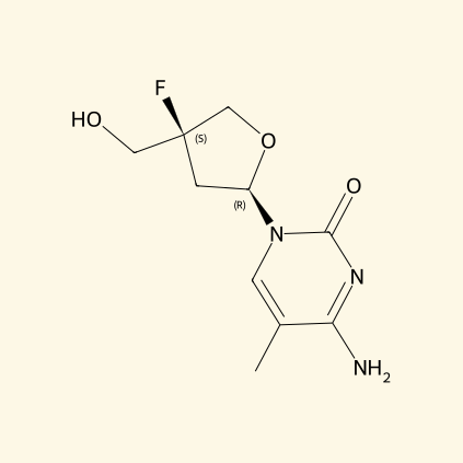 Cc1cn([C@H]2C[C@](F)(CO)CO2)c(=O)nc1N